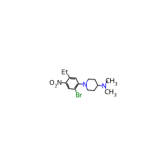 CCc1cc(N2CCC(N(C)C)CC2)c(Br)cc1[N+](=O)[O-]